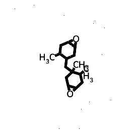 CC1CC2OC2CC1CC1(C)CC2OC2CC1C